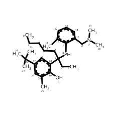 CCCCCC(CC)(Pc1c(C)cccc1CN(C)C)c1cc(C(C)(C)C)cc(C)c1O